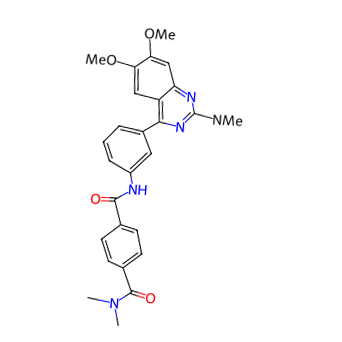 CNc1nc(-c2cccc(NC(=O)c3ccc(C(=O)N(C)C)cc3)c2)c2cc(OC)c(OC)cc2n1